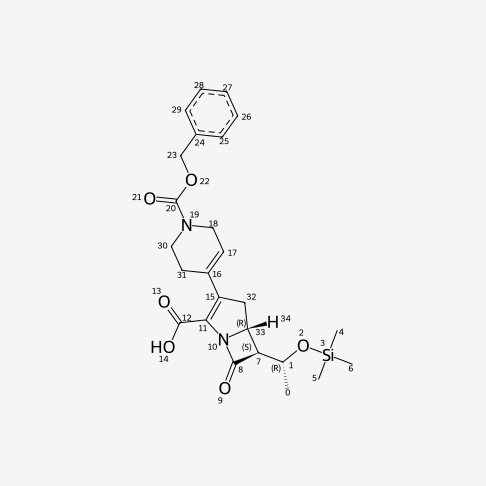 C[C@@H](O[Si](C)(C)C)[C@H]1C(=O)N2C(C(=O)O)=C(C3=CCN(C(=O)OCc4ccccc4)CC3)C[C@H]12